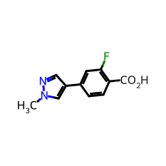 Cn1cc(-c2ccc(C(=O)O)c(F)c2)cn1